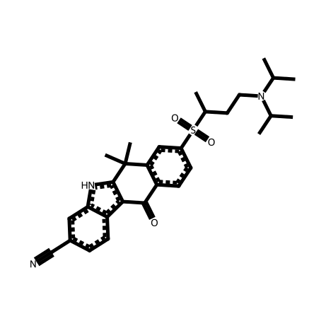 CC(C)N(CCC(C)S(=O)(=O)c1ccc2c(c1)C(C)(C)c1[nH]c3cc(C#N)ccc3c1C2=O)C(C)C